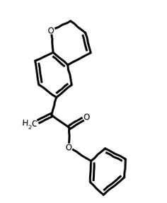 C=C(C(=O)Oc1ccccc1)c1ccc2c(c1)C=CCO2